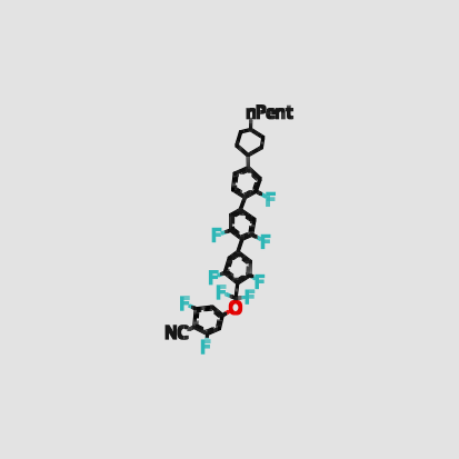 CCCCCC1CCC(c2ccc(-c3cc(F)c(-c4cc(F)c(C(F)(F)Oc5cc(F)c(C#N)c(F)c5)c(F)c4)c(F)c3)c(F)c2)CC1